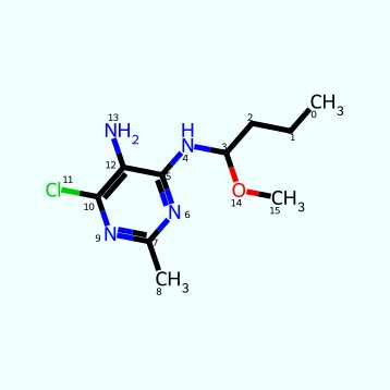 CCCC(Nc1nc(C)nc(Cl)c1N)OC